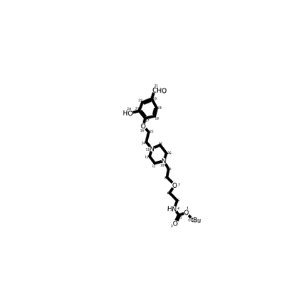 CC(C)(C)OC(=O)NCCOCCN1CCN(CCOc2ccc(C=O)cc2O)CC1